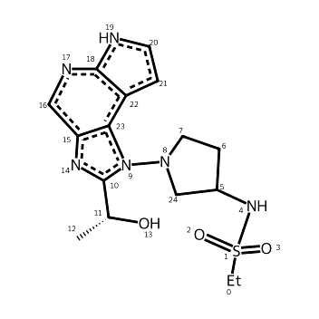 CCS(=O)(=O)NC1CCN(n2c([C@@H](C)O)nc3cnc4[nH]ccc4c32)C1